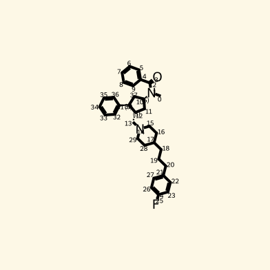 CN(C(=O)c1ccccc1)[C@@H]1C[C@H](CN2CCC(CCCc3ccc(F)cc3)CC2)[C@@H](c2ccccc2)C1